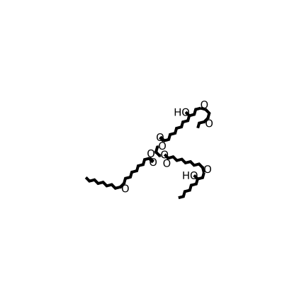 CCCCCCCCC1OC1CCCCCCCC(=O)OC(COC(=O)CCCCCCCC(O)CCC1OC1CC1OC1CC)COC(=O)CCCCCCCC1OC1CC(O)CCCCCC